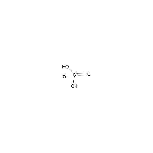 O=[N+](O)O.[Zr]